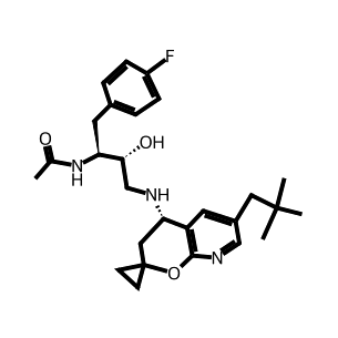 CC(=O)N[C@@H](Cc1ccc(F)cc1)[C@H](O)CN[C@H]1CC2(CC2)Oc2ncc(CC(C)(C)C)cc21